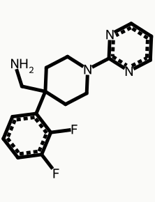 NCC1(c2cccc(F)c2F)CCN(c2ncccn2)CC1